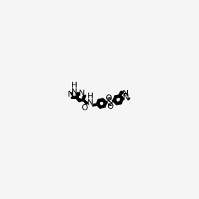 Cn1ncc2cc(S(=O)(=O)c3ccc(CNC(=O)c4cnc5[nH]ncc5c4)cc3)ccc21